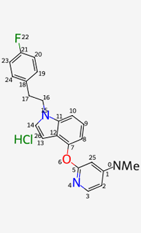 CNc1ccnc(Oc2cccc3c2ccn3CCc2ccc(F)cc2)c1.Cl